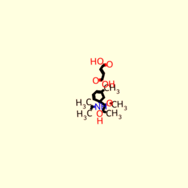 COC(C(C)O)C1(NC(C)C)C=CC=C(C)C1.O=C(O)C=CC(=O)O